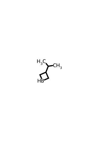 CC(C)C1CBC1